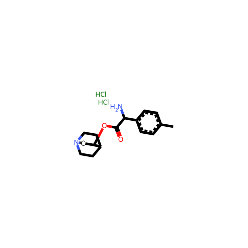 Cc1ccc(C(N)C(=O)OC2CN3CCC2CC3)cc1.Cl.Cl